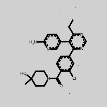 CCc1ncnc(-c2ccc(C(=O)N3CCC(C)(O)CC3)c(Cl)c2)c1-c1ccc(N)nc1